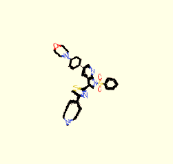 CN1CCC(c2csc(-c3cn(S(=O)(=O)c4ccccc4)c4ncc([C@H]5CC[C@H](N6CCOCC6)CC5)cc34)n2)CC1